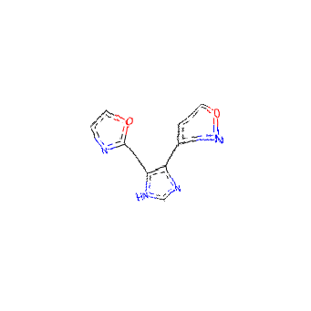 [c]1nc(-c2ccon2)c(-c2ncco2)[nH]1